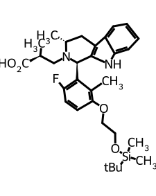 Cc1c(OCCO[Si](C)(C)C(C)(C)C)ccc(F)c1[C@@H]1c2[nH]c3ccccc3c2C[C@@H](C)N1C[C@H](C)C(=O)O